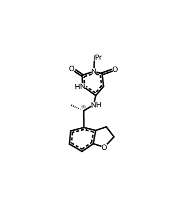 CC(C)n1c(=O)cc(N[C@@H](C)c2cccc3c2CCO3)[nH]c1=O